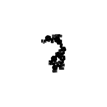 COc1cc2nn(CCN3CCN(CC(=O)N4CCC(CC(=O)N[C@H](C(=O)N5C[C@H](O)C[C@H]5C(=O)N[C@@H](C)c5ccc(-c6scnc6C)cc5)C(C)(C)C)CC4)C3=O)cc2cc1NC(=O)c1cccc(C(F)(F)F)n1